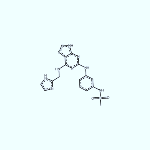 CS(=O)(=O)Nc1cccc(Nc2nc(NCc3ncc[nH]3)c3nc[nH]c3n2)c1